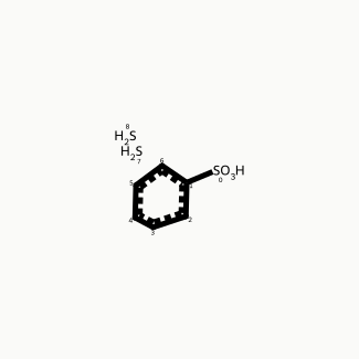 O=S(=O)(O)c1ccccc1.S.S